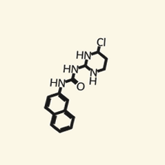 O=C(Nc1ccc2ccccc2c1)NC1NCCC(Cl)N1